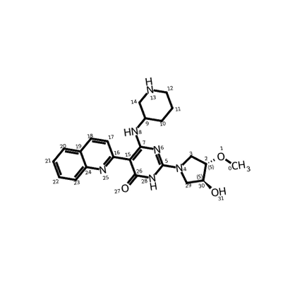 CO[C@H]1CN(c2nc(NC3CCCNC3)c(-c3ccc4ccccc4n3)c(=O)[nH]2)C[C@@H]1O